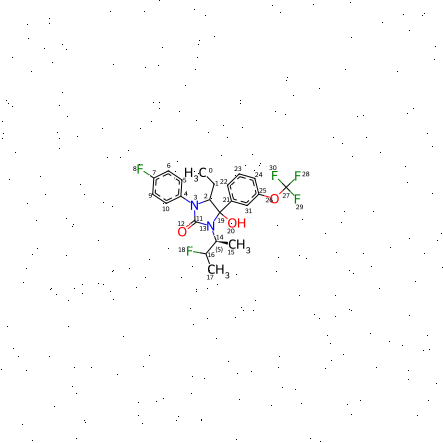 CCC1N(c2ccc(F)cc2)C(=O)N([C@@H](C)C(C)F)C1(O)c1cccc(OC(F)(F)F)c1